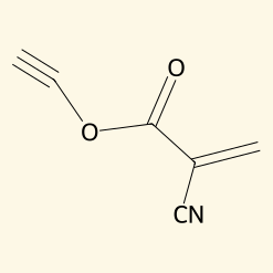 C#COC(=O)C(=C)C#N